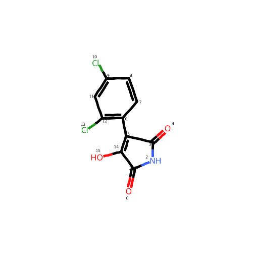 O=C1NC(=O)C(c2ccc(Cl)cc2Cl)=C1O